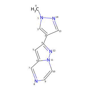 Cn1cc(-c2cc3cnccn3n2)cn1